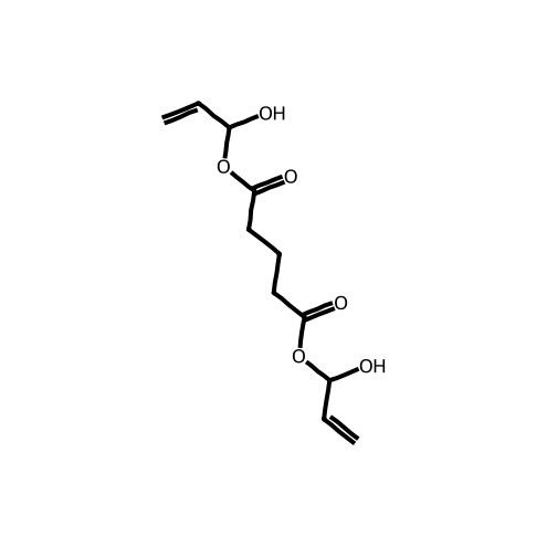 C=CC(O)OC(=O)CCCC(=O)OC(O)C=C